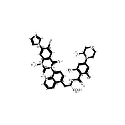 Cc1cc(N2CCOC[C@@H]2C(F)(F)F)cc(F)c1C(=O)N[C@@H](Cc1ccc(-n2c(=O)c3cc(F)c(-n4ccnc4)cc3n(C)c2=O)c2ncccc12)C(=O)O